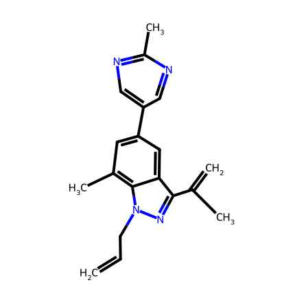 C=CCn1nc(C(=C)C)c2cc(-c3cnc(C)nc3)cc(C)c21